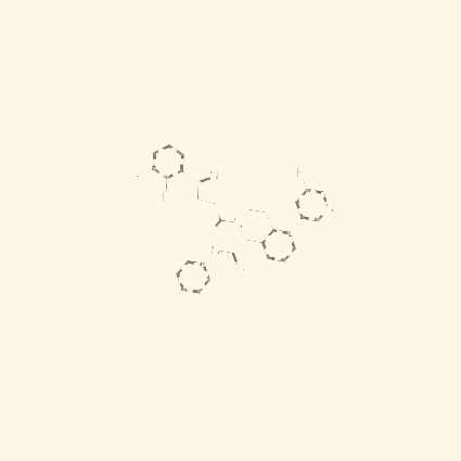 O=C(O)c1ccc(NC(=O)[C@H]2c3cccc(-c4cncc(F)c4)c3CCN2C(=O)[C@H]2CC(c3cccc(Cl)c3F)=NO2)cc1